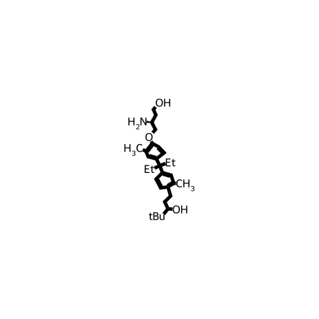 CCC(CC)(c1ccc(CCC(O)C(C)(C)C)c(C)c1)c1ccc(OC[C@@H](N)CCO)c(C)c1